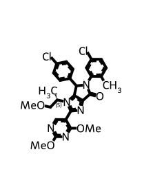 COC[C@H](C)n1c(-c2cnc(OC)nc2OC)nc2c1C(c1ccc(Cl)cc1)N(c1cc(Cl)ccc1C)C2=O